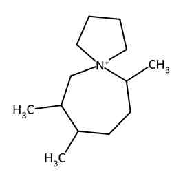 CC1CCC(C)[N+]2(CCCC2)CC1C